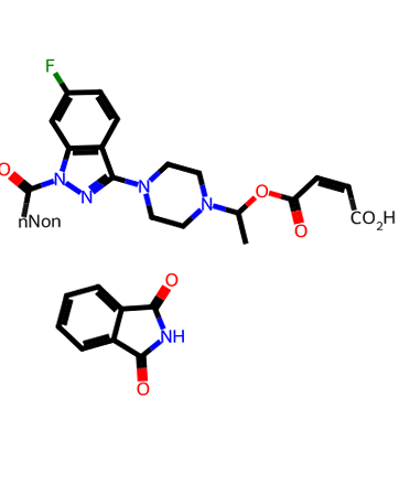 CCCCCCCCCC(=O)n1nc(N2CCN(C(C)OC(=O)/C=C\C(=O)O)CC2)c2ccc(F)cc21.O=C1NC(=O)c2ccccc21